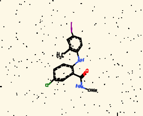 CONC(=O)c1cc(Cl)ccc1Nc1ccc(I)cc1C